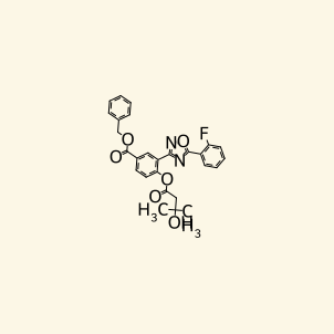 CC(C)(O)CC(=O)Oc1ccc(C(=O)OCc2ccccc2)cc1-c1noc(-c2ccccc2F)n1